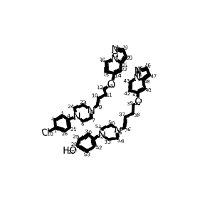 Clc1ccc(N2CCN(CCCCOc3ccn4nccc4c3)CC2)cc1.Oc1ccc(N2CCN(CCCCOc3ccn4nccc4c3)CC2)cc1